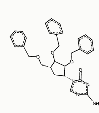 Nc1ncn([C@@H]2C[C@H](COCc3ccccc3)C(OCc3ccccc3)C2OCc2ccccc2)c(=O)n1